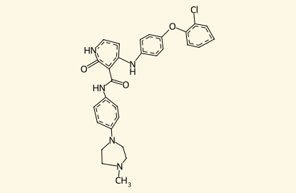 CN1CCN(c2ccc(NC(=O)c3c(Nc4ccc(Oc5ccccc5Cl)cc4)cc[nH]c3=O)cc2)CC1